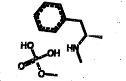 CN[C@@H](C)Cc1ccccc1.COP(=O)(O)O